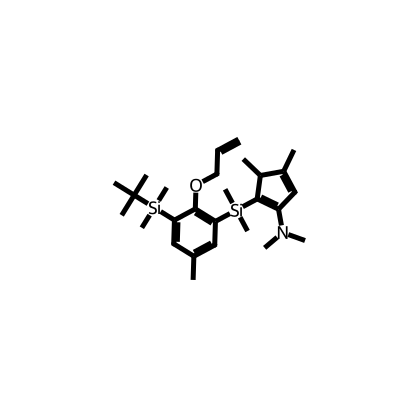 C=CCOc1c([Si](C)(C)C2=C(N(C)C)C=C(C)C2C)cc(C)cc1[Si](C)(C)C(C)(C)C